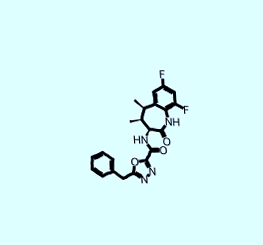 C[C@@H]1[C@H](NC(=O)c2nnc(Cc3ccccc3)o2)C(=O)Nc2c(F)cc(F)cc2[C@@H]1C